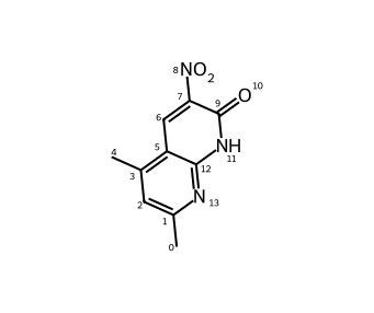 Cc1cc(C)c2cc([N+](=O)[O-])c(=O)[nH]c2n1